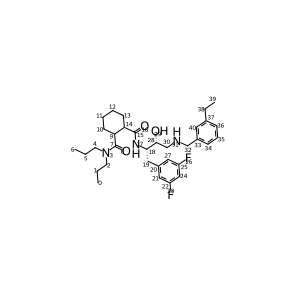 CCCN(CCC)C(=O)C1CCCCC1C(=O)N[C@@H](Cc1cc(F)cc(F)c1)[C@H](O)CNCc1cccc(CC)c1